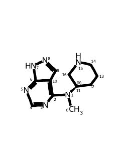 CN(c1ncnc2[nH]ncc12)[C@@H]1CCCNC1